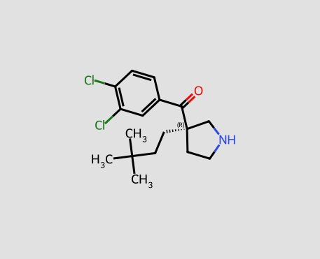 CC(C)(C)CC[C@@]1(C(=O)c2ccc(Cl)c(Cl)c2)CCNC1